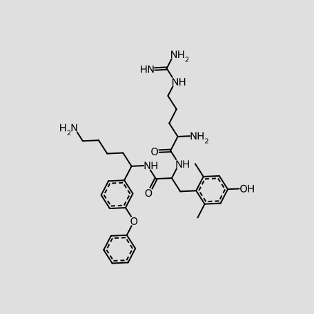 Cc1cc(O)cc(C)c1CC(NC(=O)C(N)CCCNC(=N)N)C(=O)NC(CCCCN)c1cccc(Oc2ccccc2)c1